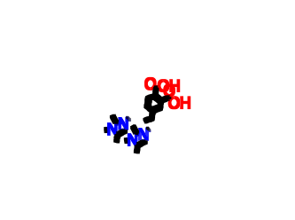 CC1CN(C)C(C)N1C.CC1CN(C)C(C)N1C.CCc1ccc(C(=O)O)c(C(=O)O)c1